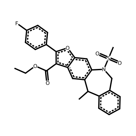 CCOC(=O)c1c(-c2ccc(F)cc2)oc2cc3c(cc12)C(C)c1ccccc1CN3S(C)(=O)=O